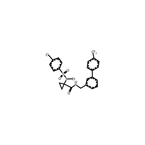 CCN(C1(C(=O)NCc2cccc(-c3ccc(C(F)(F)F)cc3)c2)CC1)S(=O)(=O)c1ccc(Cl)cc1